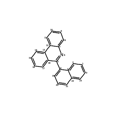 c1ccc2c(-c3nc4ccccc4c4ccccc34)cccc2c1